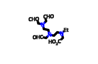 CCN(CCN(CC=O)CCN(CC=O)CC=O)CC(=O)O